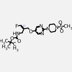 CC(C)(C)OC(=O)NC/C(=C\F)COc1cnc(N2CCN(S(C)(=O)=O)CC2)nc1